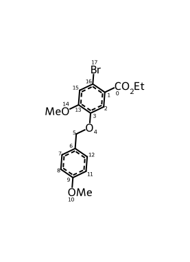 CCOC(=O)c1cc(OCc2ccc(OC)cc2)c(OC)cc1Br